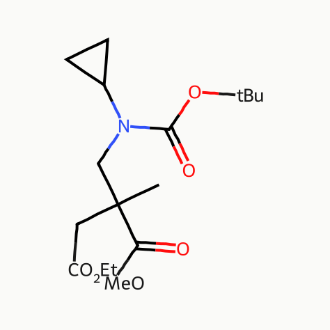 CCOC(=O)CC(C)(CN(C(=O)OC(C)(C)C)C1CC1)C(=O)OC